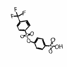 O=S(=O)(O)c1ccc(OS(=O)(=O)c2ccc(C(F)(F)F)cc2)cc1